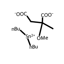 CCC[CH2][Sn+2][CH2]CCC.COC(C)(CC(=O)[O-])C(=O)[O-]